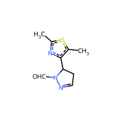 Cc1nc(C2CC=NN2C=O)c(C)s1